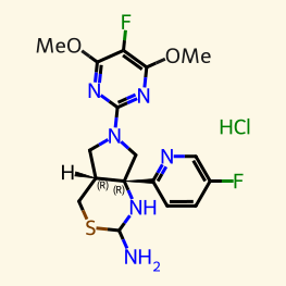 COc1nc(N2C[C@H]3CSC(N)N[C@@]3(c3ccc(F)cn3)C2)nc(OC)c1F.Cl